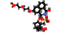 COCCOCCOc1cc2c3c(cccc3c1)C(=O)N(OS(=O)(=O)CC13CCC(CC1O)C3(C)C)C2=O